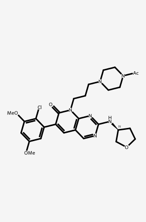 COc1cc(OC)c(Cl)c(-c2cc3cnc(N[C@H]4CCOC4)nc3n(CCCN3CCN(C(C)=O)CC3)c2=O)c1